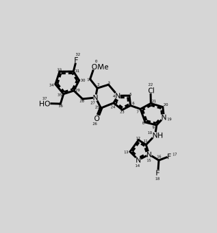 COCC1Cn2cc(-c3cc(Nc4ccnn4C(F)F)ncc3Cl)cc2C(=O)N1Cc1cc(F)ccc1CO